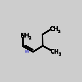 CCC(C)/C=C\N